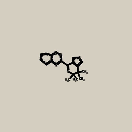 CC1(C)N=C(c2nnc3ccccc3n2)c2cscc2C1(C)C